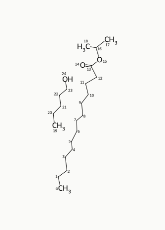 CCCCCCCCCCCCCC(=O)OC(C)C.CCCCCO